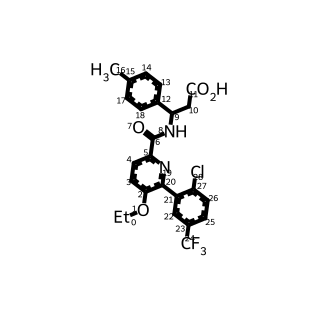 CCOc1ccc(C(=O)NC(CC(=O)O)c2ccc(C)cc2)nc1-c1cc(C(F)(F)F)ccc1Cl